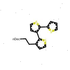 CCCCCCCCCCCCc1ccsc1-c1ccsc1-c1cccs1